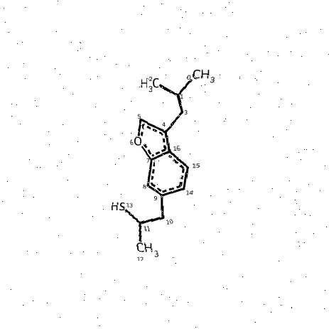 CC(C)Cc1coc2cc(CC(C)S)ccc12